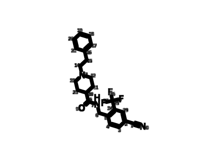 N#Cc1ccc(CNC(=O)C2CCN(CCc3ccccc3)CC2)c(C(F)(F)F)c1